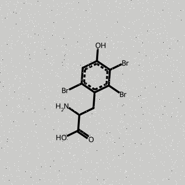 NC(Cc1c(Br)cc(O)c(Br)c1Br)C(=O)O